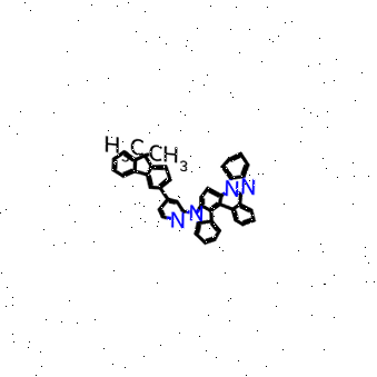 CC1(C)c2ccccc2-c2cc(-c3ccnc(-n4c5ccccc5c5c6c7ccccc7c7nc8ccccc8n7c6ccc54)c3)ccc21